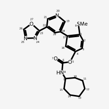 CSc1ccc(OC(=O)NC2CCCCCC2)cc1-c1cncc(-c2nnco2)c1